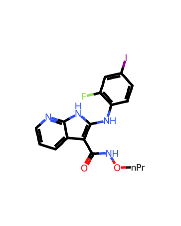 CCCONC(=O)c1c(Nc2ccc(I)cc2F)[nH]c2ncccc12